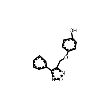 Oc1ccc(OCc2nonc2-c2ccccc2)cc1